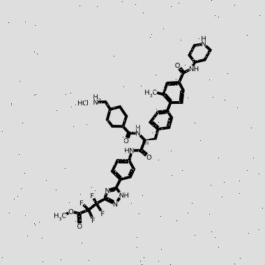 COC(=O)C(F)(F)C(F)(F)c1n[nH]c(-c2ccc(NC(=O)[C@H](Cc3ccc(-c4ccc(C(=O)NC5CCNCC5)cc4C)cc3)NC(=O)C3CCC(CN)CC3)cc2)n1.Cl